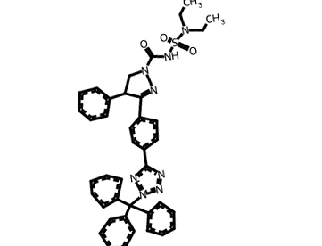 CCN(CC)S(=O)(=O)NC(=O)N1CC(c2ccccc2)C(c2ccc(-c3nnn(C(c4ccccc4)(c4ccccc4)c4ccccc4)n3)cc2)=N1